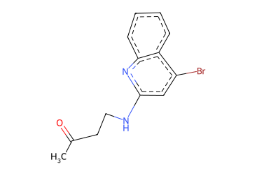 CC(=O)CCNc1cc(Br)c2ccccc2n1